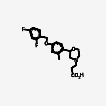 Cc1cc(OCc2ccc(F)cc2F)ccc1C1CN(CCC(=O)O)CCO1